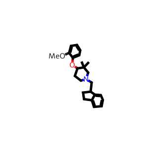 COc1ccccc1OC1CCN(CC2CCc3ccccc32)CC1(C)C